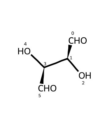 O=C[C@@H](O)[C@H](O)C=O